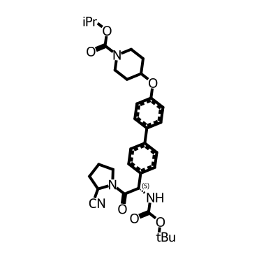 CC(C)OC(=O)N1CCC(Oc2ccc(-c3ccc([C@H](NC(=O)OC(C)(C)C)C(=O)N4CCCC4C#N)cc3)cc2)CC1